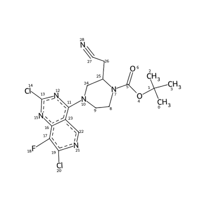 CC(C)(C)OC(=O)N1CCN(c2nc(Cl)nc3c(F)c(Cl)ncc23)CC1CC#N